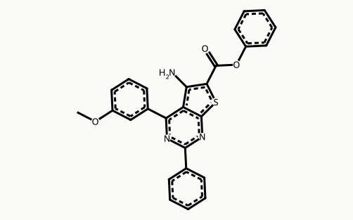 COc1cccc(-c2nc(-c3ccccc3)nc3sc(C(=O)Oc4ccccc4)c(N)c23)c1